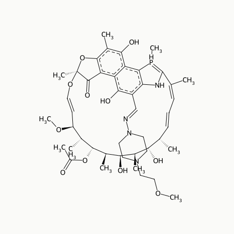 COCCN1CCN(/N=C/c2c3c4c5c(O)c(C)c6c(c5c2O)C(=O)[C@@](C)(O/C=C/[C@H](OC)[C@@H](C)[C@@H](OC(C)=O)[C@H](C)[C@H](O)[C@H](C)[C@@H](O)[C@@H](C)/C=C/C=C(/C)C(=[PH]4C)N3)O6)CC1